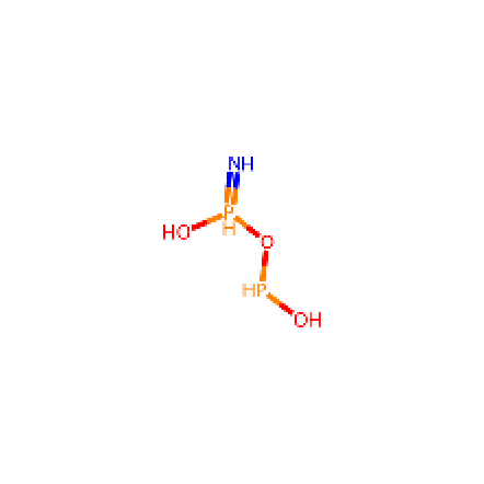 N=[PH](O)OPO